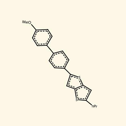 CCCc1cc2sc(-c3ccc(-c4ccc(OC)cc4)cc3)cc2s1